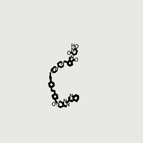 O=C1CCC(N2Cc3c(CN4CCC(N5CCN(CC#Cc6ccc(/C=C/c7ccc(C(=O)N8CCc9cnc(-c%10cnc%11ccccc%11c%10)nc9C8)cc7)cc6)CC5)CC4)cccc3C2=O)C(=O)N1